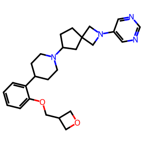 c1ccc(C2CCN(C3CCC4(C3)CN(c3cncnc3)C4)CC2)c(OCC2COC2)c1